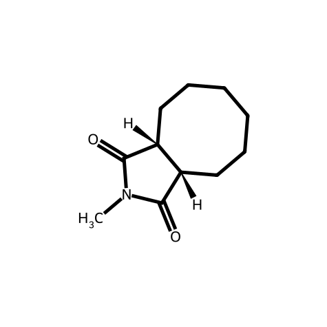 CN1C(=O)[C@H]2CCCCCC[C@H]2C1=O